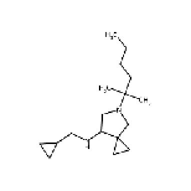 CCCCC(C)(C)N1CC(NCC2CC2)C2(CC2)C1